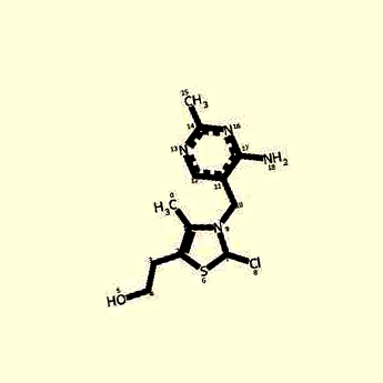 CC1=C(CCO)SC(Cl)N1Cc1cnc(C)nc1N